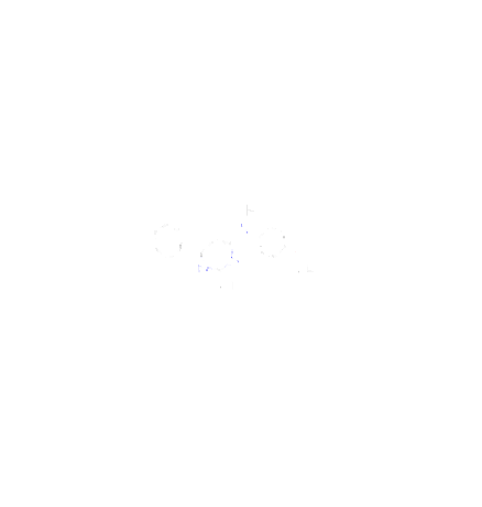 COc1ccc(N(C)c2cc(-c3ccccc3)nc(C)n2)cc1